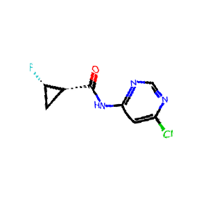 O=C(Nc1cc(Cl)ncn1)[C@@H]1C[C@@H]1F